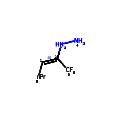 CCC/C=C(/NN)C(F)(F)F